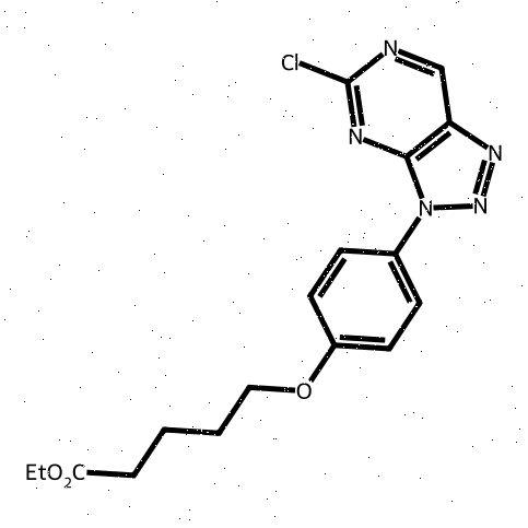 CCOC(=O)CCCCOc1ccc(-n2nnc3cnc(Cl)nc32)cc1